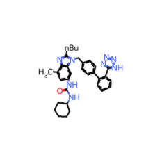 CCCCc1nc2c(C)cc(NC(=O)NC3CCCCC3)cc2n1Cc1ccc(-c2ccccc2-c2nnn[nH]2)cc1